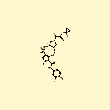 Cc1cc(NC(=O)c2c3c(cn2C)S(=O)(=O)N[C@H]2CN(C(=O)C(=O)NC4(C)CC4)C[C@H]2CS3)ccc1F